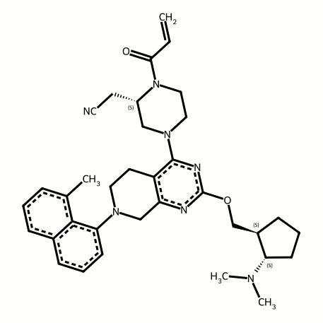 C=CC(=O)N1CCN(c2nc(OC[C@H]3CCC[C@@H]3N(C)C)nc3c2CCN(c2cccc4cccc(C)c24)C3)C[C@@H]1CC#N